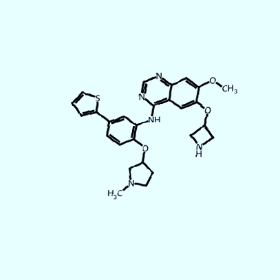 COc1cc2ncnc(Nc3cc(-c4cccs4)ccc3OC3CCN(C)C3)c2cc1OC1CNC1